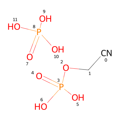 N#CCOP(=O)(O)O.O=P(O)(O)O